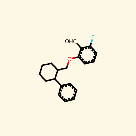 O=Cc1c(F)cccc1OCC1CCCCC1c1ccccc1